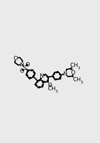 COc1c(-c2ccc(N3CC(C)O[C@H](C)C3)cc2)cnc2c(-c3ccc(S(=O)(=O)N4CCOCC4)cc3)cccc12